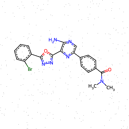 CN(C)C(=O)c1ccc(-c2cnc(N)c(-c3nnc(-c4ccccc4Br)o3)n2)cc1